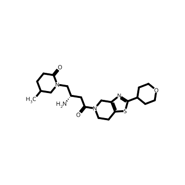 CC1CCC(=O)N(C[C@@H](N)CC(=O)N2CCc3sc(C4CCOCC4)nc3C2)C1